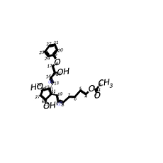 CC(=O)OCCCC/C=C\C[C@@H]1[C@@H](/C=C/[C@@H](O)COc2ccccc2)[C@H](O)C[C@@H]1O